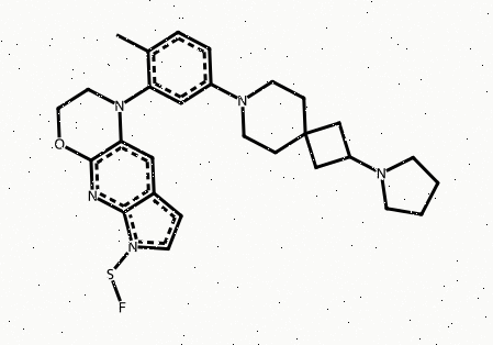 Cc1ccc(N2CCC3(CC2)CC(N2CCCC2)C3)cc1N1CCOc2nc3c(ccn3SF)cc21